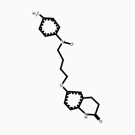 Cc1ccc([S+]([O-])CCCCOc2ccc3c(c2)CCC(=O)N3)cc1